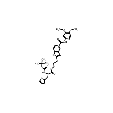 COc1ccc(NC(=O)c2ccc3[nH]c(CCCNC(=O)[C@H](Cc4nccs4)NC(=O)OC(C)(C)C)cc3c2)cc1OC